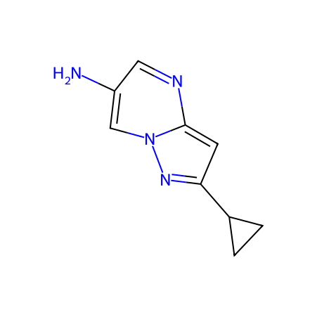 Nc1cnc2cc(C3CC3)nn2c1